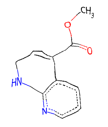 COC(=O)C1=CCNc2ncccc21